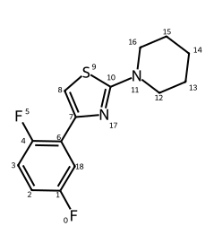 Fc1ccc(F)c(-c2csc(N3CCCCC3)n2)c1